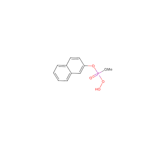 COP(=O)(OO)Oc1ccc2ccccc2c1